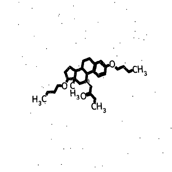 CCCCOc1ccc2c(c1)CCC1C2[C@@H](CC(=O)CC)CC2(C)C(OCCCC)CCC12